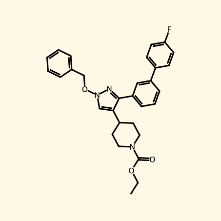 CCOC(=O)N1CCC(c2cn(OCc3ccccc3)nc2-c2cccc(-c3ccc(F)cc3)c2)CC1